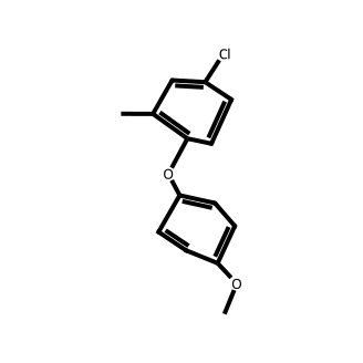 COc1ccc(Oc2ccc(Cl)cc2C)cc1